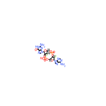 Nc1nc2c(ncn2[C@@H]2O[C@@H]3CO[PH](=O)O[C@H]4[C@H](F)[C@H](n5cnc6c(N)ncnc65)O[C@@H]4COP(=O)(O)O[C@@H]2[C@@H]3F)c(=O)[nH]1